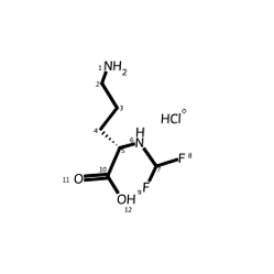 Cl.NCCC[C@H](NC(F)F)C(=O)O